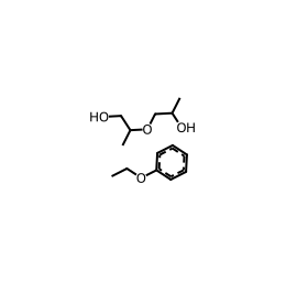 CC(O)COC(C)CO.CCOc1ccccc1